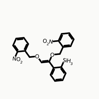 O=[N+]([O-])c1ccccc1COC=C(OCc1ccccc1[N+](=O)[O-])c1ccccc1[SiH3]